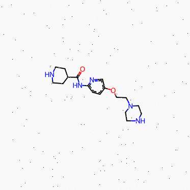 O=C(Nc1ccc(OCCN2CCNCC2)cn1)C1CCNCC1